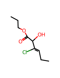 CCC=C(Cl)C(O)C(=O)OCCC